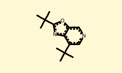 CC(C)(C)c1nc2c(C(C)(C)C)cncc2o1